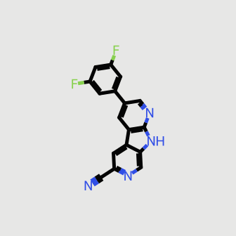 N#Cc1cc2c(cn1)[nH]c1ncc(-c3cc(F)cc(F)c3)cc12